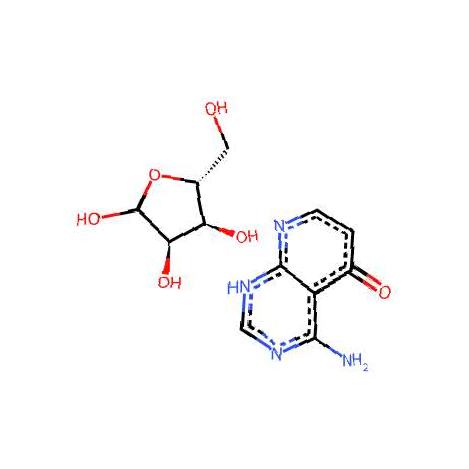 Nc1nc[nH]c2nccc(=O)c1-2.OC[C@H]1OC(O)[C@H](O)[C@@H]1O